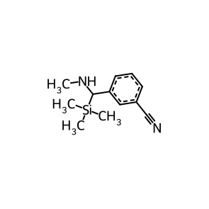 CNC(c1cccc(C#N)c1)[Si](C)(C)C